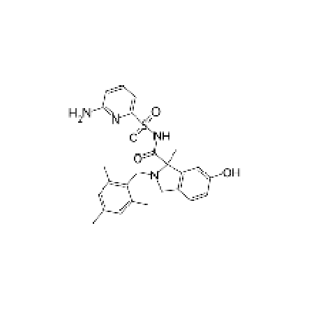 Cc1cc(C)c(CN2Cc3ccc(O)cc3C2(C)C(=O)NS(=O)(=O)c2cccc(N)n2)c(C)c1